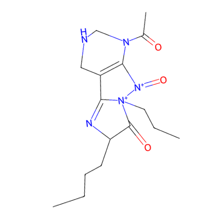 CCCCC1N=C2C3=C(N(C(C)=O)CNC3)[N+](=O)[N+]2(CCC)C1=O